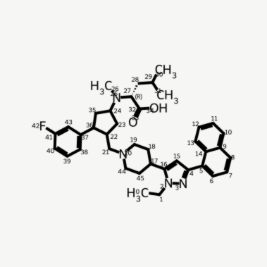 CCn1nc(-c2cccc3ccccc23)cc1C1CCN(CC2CC(N(C)[C@H](CC(C)C)C(=O)O)CC2c2cccc(F)c2)CC1